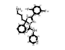 NCCCC1(c2ccccc2)SC(c2cc(F)ccc2F)=NN1C(=O)Nc1cccnc1